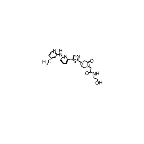 Cc1ccnc(Nc2cccc(-c3cnc(N4CCN(CC(=O)NCCO)C(=O)C4)s3)n2)c1